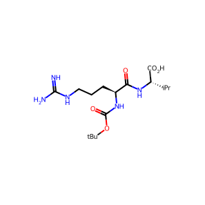 CC(C)[C@H](NC(=O)[C@H](CCCNC(=N)N)NC(=O)OC(C)(C)C)C(=O)O